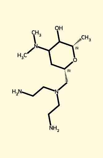 C[C@@H]1O[C@H](CN(CCN)CCN)CC(N(C)C)C1O